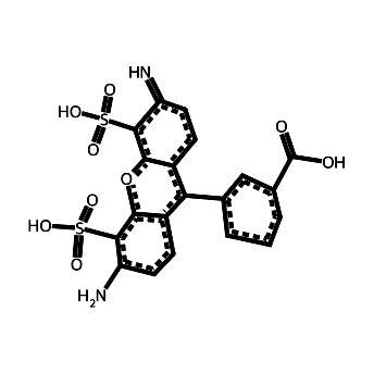 N=c1ccc2c(-c3cccc(C(=O)O)c3)c3ccc(N)c(S(=O)(=O)O)c3oc-2c1S(=O)(=O)O